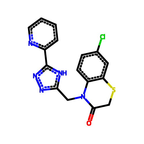 O=C1CSc2cc(Cl)ccc2N1Cc1nnc(-c2ccccn2)[nH]1